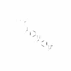 O=C(O)CCC(=O)c1ccc(NC(=O)c2ccc([N+](=O)[O-])cc2)cc1